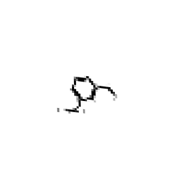 ONc1cccc(CF)c1